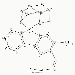 C#C/C=C\c1cc2c(cc1C)C1(c3ccccc3-2)C2CC3CC(C2)CC1C3